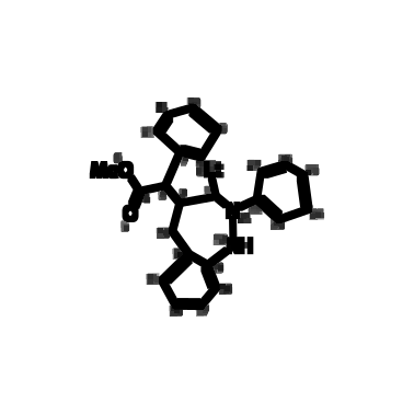 CCC1C(C(C(=O)OC)c2ccccc2)Cc2ccccc2NN1c1ccccc1